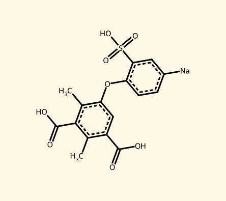 Cc1c(Oc2cc[c]([Na])cc2S(=O)(=O)O)cc(C(=O)O)c(C)c1C(=O)O